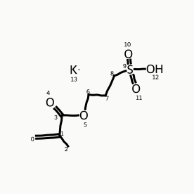 C=C(C)C(=O)OCCCS(=O)(=O)O.[K]